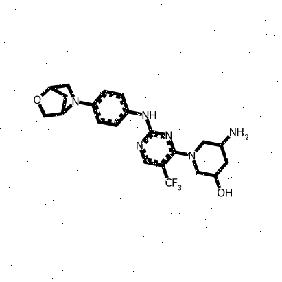 NC1CC(O)CN(c2nc(Nc3ccc(N4CC5CC4CO5)cc3)ncc2C(F)(F)F)C1